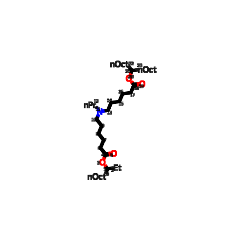 CCCCCCCCC(CC)OC(=O)CCCCCN(CCC)CCCCCC(=O)OC(CCCCCCCC)CCCCCCCC